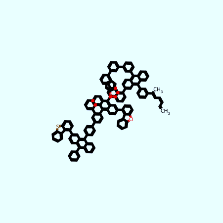 C=C/C=C\C=C(/C)c1cccc(-c2c3ccccc3c(-c3cccc(-c4cccc(-c5cccc(-c6cccc(-c7c8ccccc8c(-c8ccc(-c9ccc(-c%10c%11ccccc%11c(-c%11ccccc%11)c%11ccc(-c%12cccc%13sc%14ccccc%14c%12%13)cc%10%11)cc9)cc8-c8ccccc8)c8ccc(-c9cccc%10oc%11ccccc%11c9%10)cc78)c6)c5)c4)c3)c3ccc(-c4cccc5oc6ccccc6c45)cc23)c1